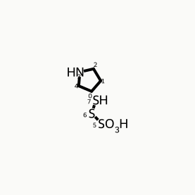 C1CCNC1.O=S(=O)(O)SS